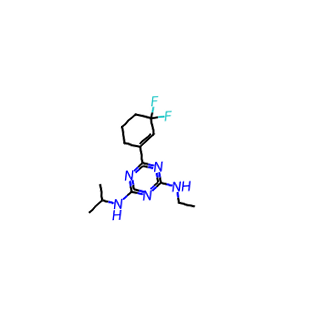 CCNc1nc(NC(C)C)nc(C2=CC(F)(F)CCC2)n1